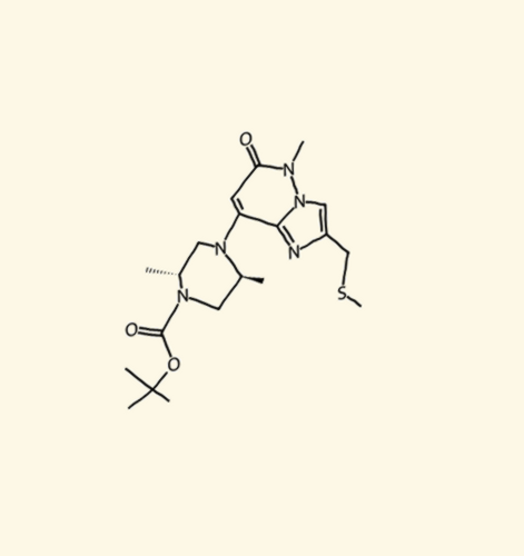 CSCc1cn2c(n1)c(N1C[C@@H](C)N(C(=O)OC(C)(C)C)C[C@@H]1C)cc(=O)n2C